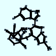 O=C(O)[C@H]1[C@H]2CC[C@H](CC2)[C@@H]1Cc1nc(-c2c[nH]c3ncc(F)cc23)nn2cc(C(F)(F)F)cc12